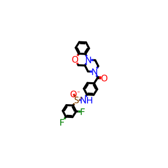 O=C(c1ccc(N[S+]([O-])c2ccc(F)cc2F)cc1)N1CCN2c3ccccc3OCC2C1